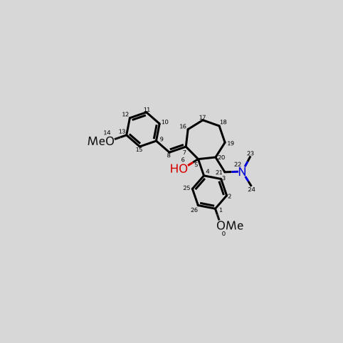 COc1ccc(C2(O)C(=Cc3cccc(OC)c3)CCCCC2CN(C)C)cc1